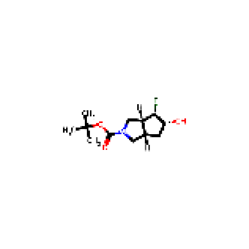 CC(C)(C)OC(=O)N1C[C@H]2C[C@@H](O)[C@H](F)[C@H]2C1